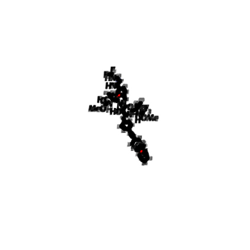 COC(=O)N[C@H](C(=O)N[C@@H](Cc1ccc(C#Cc2cnc(N3CC4CCC(C3)N4C3COC3)nc2)cc1)[C@@H](O)CN(Cc1ccc(C(=N)/C=C\NC(F)F)cc1)NC(=O)[C@@H](NC(=O)OC)C(C)(C)C(F)(F)F)C(C)(C)C(F)(F)F